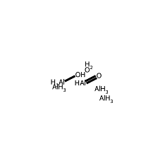 O.[AlH3].[AlH3].[AlH3].[OH][AlH2].[O]=[AlH]